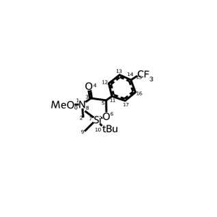 CON(C)C(=O)C(O[Si](C)(C)C(C)(C)C)c1ccc(C(F)(F)F)cc1